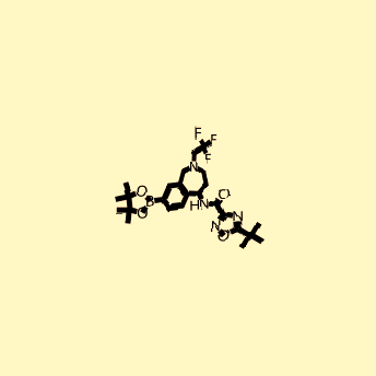 CC(C)(C)c1nc(C(=O)NC2CCN(CC(F)(F)F)Cc3cc(B4OC(C)(C)C(C)(C)O4)ccc32)no1